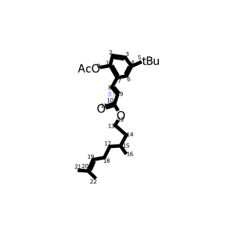 CC(=O)Oc1ccc(C(C)(C)C)cc1/C=C/C(=O)OCCC(C)CCC=C(C)C